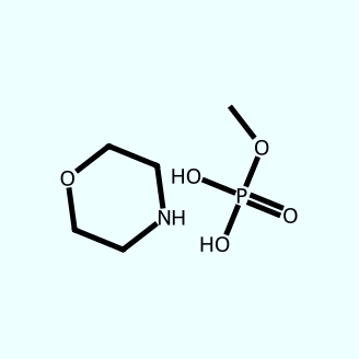 C1COCCN1.COP(=O)(O)O